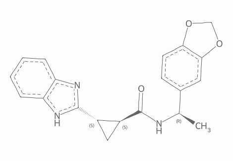 C[C@@H](NC(=O)[C@H]1C[C@@H]1c1nc2ccccc2[nH]1)c1ccc2c(c1)OCO2